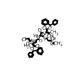 COC(=O)CCSC1C(NC(=O)CCC(C)(NC(=O)CCl)C(=O)OC(c2ccccc2)c2ccccc2)C(=O)N1C(C(=O)OC(c1ccccc1)c1ccccc1)=C(C)C